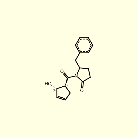 O=C1CCC(Cc2ccccc2)N1C(=O)[C@H]1CC=C[C@@H]1O